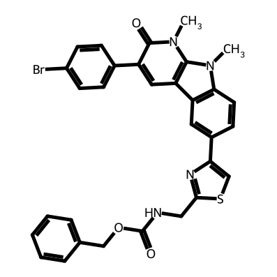 Cn1c(=O)c(-c2ccc(Br)cc2)cc2c3cc(-c4csc(CNC(=O)OCc5ccccc5)n4)ccc3n(C)c21